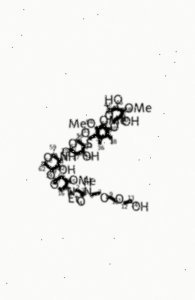 CCN(CC(=O)NCCOCCOCCO)[C@H]1CO[C@@H](O[C@@H]2[C@@H](O)[C@H](NO[C@H]3C[C@H](O)[C@H](SC(=O)c4c(C)c(I)c(O[C@@H]5O[C@@H](C)[C@H](O)[C@@H](OC)[C@H]5O)c(OC)c4OC)[C@@H](C)O3)[C@@H](C)O[C@H]2C)C[C@@H]1OC